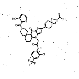 CC(=O)N1CC2(CC=C(c3nc4n(CC(=O)Nc5ccc(C(F)(F)F)cc5Cl)c5c(c(=O)n4n3)C3(CCC5)CCN(C(=O)c4ncccc4O)CC3)CC2)C1